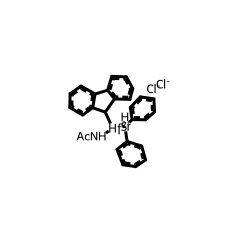 CC(=O)[NH][Hf+2]([CH]1c2ccccc2-c2ccccc21)[SiH](c1ccccc1)c1ccccc1.[Cl-].[Cl-]